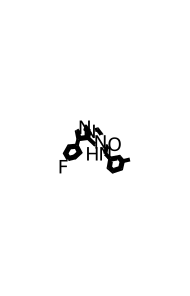 Cc1cccc(NC(=O)N2CCn3ncc(-c4ccc(F)cc4)c3C2)c1